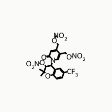 CC1(C)Oc2ccc(C(F)(F)F)cc2C(n2cc(CO[N+](=O)[O-])c(CO[N+](=O)[O-])cc2=O)C1O[N+](=O)[O-]